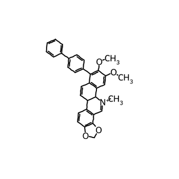 COc1cc2c(c(-c3ccc(-c4ccccc4)cc3)c1OC)C=CC1c3ccc4c(c3C=[N+](C)C21)OCO4